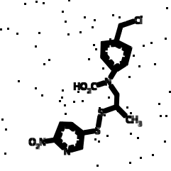 CC(CN(C(=O)O)c1ccc(CCl)cc1)SSc1ccc([N+](=O)[O-])nc1